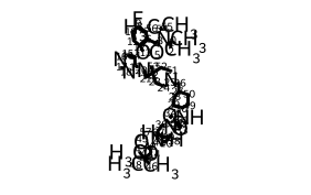 CC(C)N(C(=O)c1cc(F)ccc1Oc1cncnc1N1CC2(CCN(CC3CCC(NS(=O)(=O)N4C[C@H]5C[C@@H]4CN5C(=O)OC(C)(C)C)CC3)CC2)C1)C(C)C